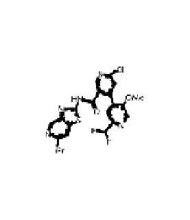 COc1cnc(C(F)F)cc1-c1cc(Cl)ncc1C(=O)Nc1nc2cnc(C(C)C)cc2s1